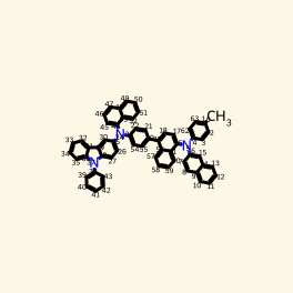 Cc1ccc(N(c2ccc3ccccc3c2)c2ccc(-c3ccc(N(c4ccc5c(c4)c4ccccc4n5-c4ccccc4)c4cccc5ccccc45)cc3)c3ccccc23)cc1